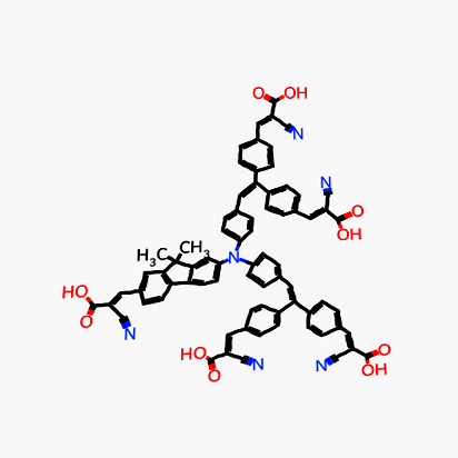 CC1(C)c2cc(/C=C(\C#N)C(=O)O)ccc2-c2ccc(N(c3ccc(C=C(c4ccc(/C=C(\C#N)C(=O)O)cc4)c4ccc(/C=C(\C#N)C(=O)O)cc4)cc3)c3ccc(C=C(c4ccc(/C=C(\C#N)C(=O)O)cc4)c4ccc(/C=C(\C#N)C(=O)O)cc4)cc3)cc21